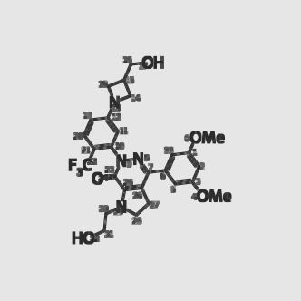 COc1cc(OC)cc(-c2nn(-c3cc(N4CC(CO)C4)ccc3C(F)(F)F)c(=O)c3c2CCN3CCO)c1